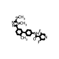 CSc1nnc(-c2ccc(C)c(-c3ccc(NC(=O)c4c(F)cncc4F)cc3)c2)n1C